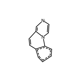 C1=CN2C(=C[N]1)C=Cc1ccccc12